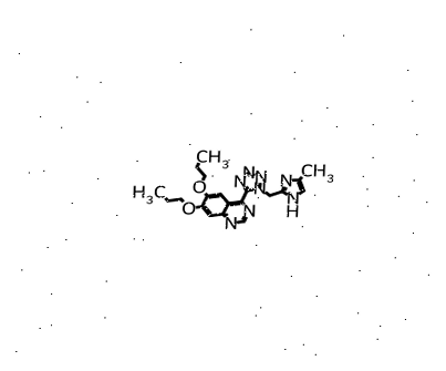 CCCOc1cc2ncnc(-c3nnnn3Cc3nc(C)c[nH]3)c2cc1OCCC